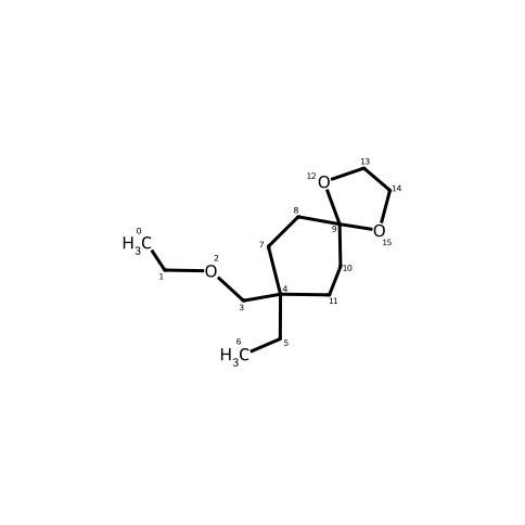 CCOCC1(CC)CCC2(CC1)OCCO2